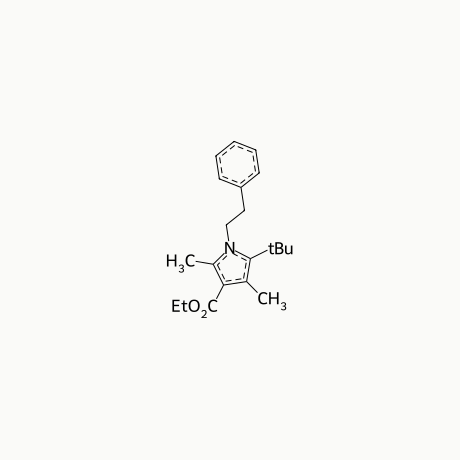 CCOC(=O)c1c(C)c(C(C)(C)C)n(CCc2ccccc2)c1C